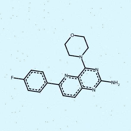 Nc1nc(N2CCOCC2)c2nc(-c3ccc(F)cc3)ccc2n1